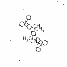 CC1(C)c2cc3c(cc2-c2cc4c5c(n(-c6ccccc6)c4cc21)CCC=C5)C(C)(C)c1cc2c(cc1-3)c1c(n2-c2ccccc2)CCC=C1